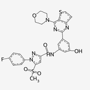 CS(=O)(=O)c1cc(C(=O)Nc2cc(O)cc(-c3nc(N4CCOCC4)c4sccc4n3)c2)nn1-c1ccc(F)cc1